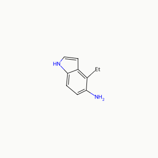 CCc1c(N)ccc2[nH]ccc12